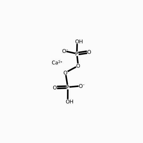 O=P([O-])(O)OOP(=O)([O-])O.[Ca+2]